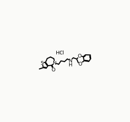 Cc1cc2c(s1)CCCN(CCCCNCC1COc3ccccc3O1)C2=O.Cl